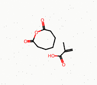 C=C(C)C(=O)O.O=C1CCCCCC(=O)O1